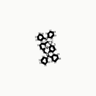 FC(F)(F)c1cccc(N(Cc2cccc(CP(c3ccccc3)c3ccccc3)n2)P(c2ccccc2)c2ccccc2)c1